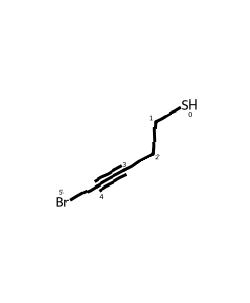 SCCC#CBr